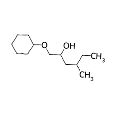 CCC(C)CC(O)COC1CCCCC1